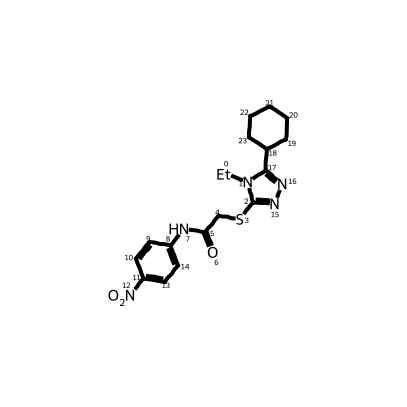 CCn1c(SCC(=O)Nc2ccc([N+](=O)[O-])cc2)nnc1C1CCCCC1